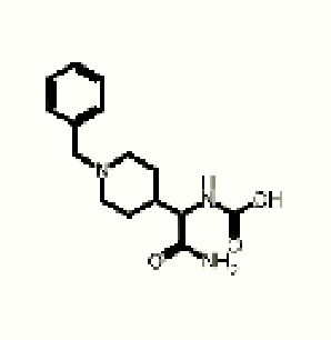 NC(=O)C(NC(=O)O)C1CCN(Cc2ccccc2)CC1